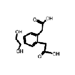 O=C(O)Cc1ccccc1CC(=O)O.OCCO